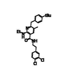 CCNc1nc(Cc2ccc(C(C)(C)C)cc2)c(C)cc1C(=O)NCCc1ccc(Cl)c(Cl)c1